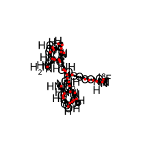 N=C(N)NCCC[C@@H]1NC(=O)[C@H](CCCCNC(=O)CCN(CCC(=O)NCCCC[C@H]2C(=O)N[C@@H](CCCNC(=N)N)C(=O)NCC(=O)N[C@@H](CC(=O)O)C(=O)N[C@@H](Cc3ccccc3)c3cn2nn3)C(=O)CCOCCOCCOCCOCCNC(=O)Cn2cc(C[18F])nn2)n2cc(nn2)[C@H](Cc2ccccc2)NC(=O)[C@H](CC(=O)O)NC(=O)CNC1=O